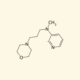 CN(CCCN1CCOCC1)c1[c]nccc1